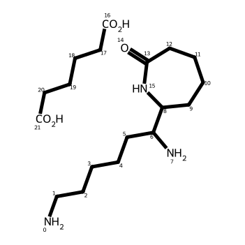 NCCCCCC(N)C1CCCCC(=O)N1.O=C(O)CCCCC(=O)O